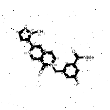 CNC(=O)c1cc(F)cc(Cn2ccc3cc(-c4ccnn4C)ncc3c2=O)c1